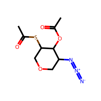 CC(=O)OC1C(N=[N+]=[N-])COCC1SC(C)=O